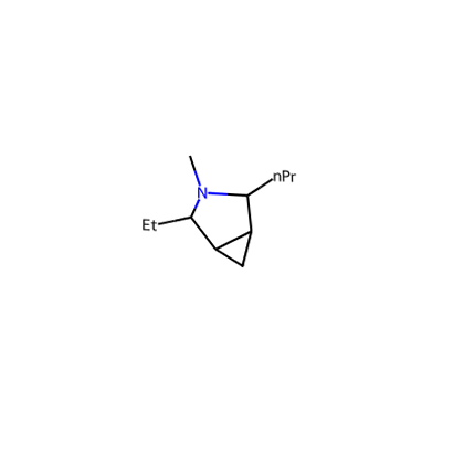 CCCC1C2CC2C(CC)N1C